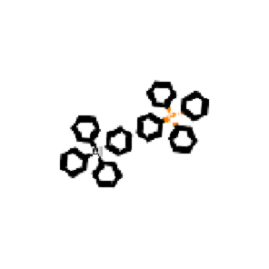 c1cc[c]([Al-]([c]2ccccc2)([c]2ccccc2)[c]2ccccc2)cc1.c1ccc([P+](c2ccccc2)(c2ccccc2)c2ccccc2)cc1